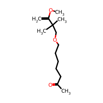 C=C(OC)C(C)(C)COCCCCCC(C)=O